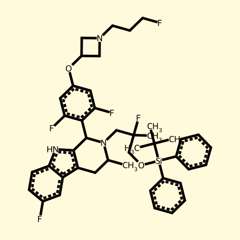 CC1Cc2c([nH]c3ccc(F)cc23)C(c2c(F)cc(OC3CN(CCCF)C3)cc2F)N1CC(C)(F)CO[Si](c1ccccc1)(c1ccccc1)C(C)(C)C